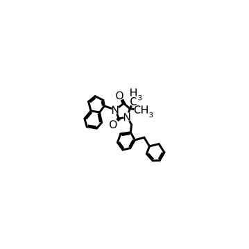 CC1(C)C(=O)N(c2cccc3ccccc23)C(=O)N1Cc1ccccc1CC1C=CC=CC1